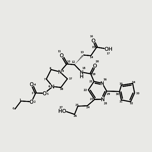 CCOC(=O)ON1CCN(C(=O)[C@H](CCC(=O)O)NC(=O)c2cc(CCCO)nc(-c3ccccc3)n2)CC1